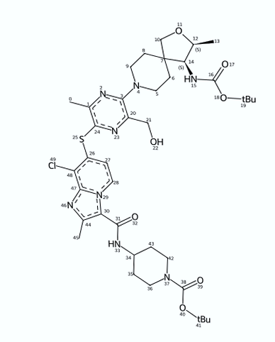 Cc1nc(N2CCC3(CC2)CO[C@@H](C)[C@H]3NC(=O)OC(C)(C)C)c(CO)nc1Sc1ccn2c(C(=O)NC3CCN(C(=O)OC(C)(C)C)CC3)c(C)nc2c1Cl